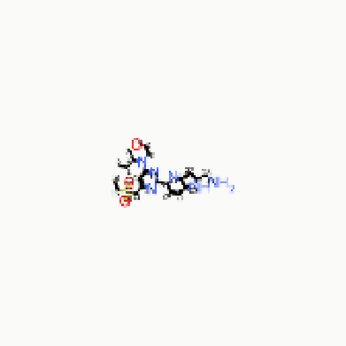 CC[C@H]1COCCN1c1cc(CS(=O)(=O)CC)nc(-c2ccc3[nH]c(CN)cc3n2)n1